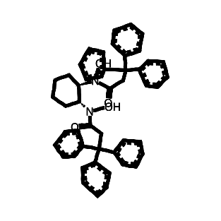 O=C(CC(c1ccccc1)(c1ccccc1)c1ccccc1)N(O)[C@@H]1CCCC[C@H]1N(O)C(=O)CC(c1ccccc1)(c1ccccc1)c1ccccc1